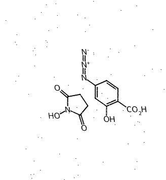 O=C1CCC(=O)N1O.[N-]=[N+]=Nc1ccc(C(=O)O)c(O)c1